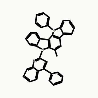 Cc1cc2c3ccccc3n(-c3ccccc3)c2c2c3ccccc3n(-c3cc(-c4ccccc4)c4ccccc4n3)c12